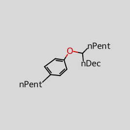 [CH2]CCCCC(CCCCCCCCCC)Oc1ccc(CCCCC)cc1